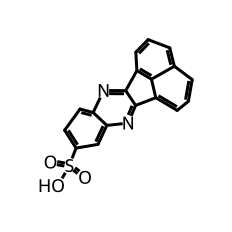 O=S(=O)(O)c1ccc2nc3c(nc2c1)-c1cccc2cccc-3c12